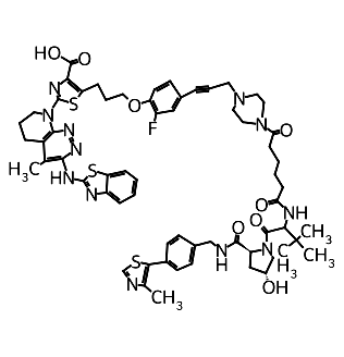 Cc1ncsc1-c1ccc(CNC(=O)[C@@H]2C[C@@H](O)CN2C(=O)C(NC(=O)CCCCC(=O)N2CCN(CC#Cc3ccc(OCCCc4sc(N5CCCc6c5nnc(Nc5nc7ccccc7s5)c6C)nc4C(=O)O)c(F)c3)CC2)C(C)(C)C)cc1